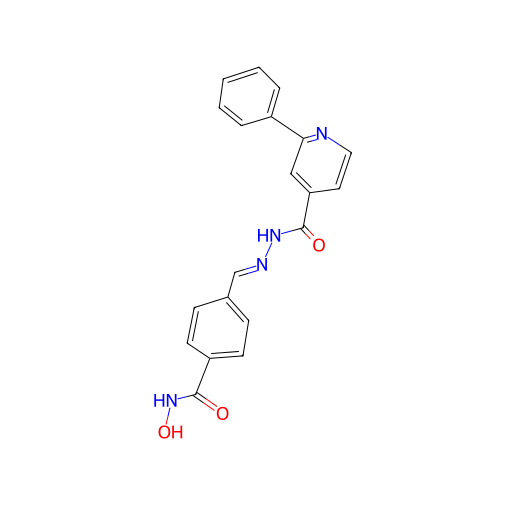 O=C(NO)c1ccc(C=NNC(=O)c2ccnc(-c3ccccc3)c2)cc1